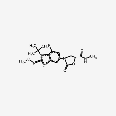 CNC(=O)[C@H]1CN(c2cc(F)c3c(c2)oc(=NOC)n3C(C)(C)C)C(=O)O1